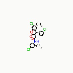 Cc1cc2c(-c3cccc(Cl)c3)c(CC(=O)Nc3ccc(Cl)cc3C(F)(F)F)c(=O)oc2cc1Cl